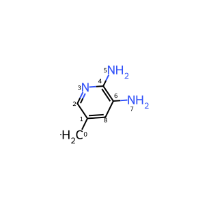 [CH2]c1cnc(N)c(N)c1